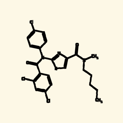 CCCCCN(C)C(=O)c1csc(N(C(=O)c2ccc(Cl)cc2Cl)c2ccc(Cl)cc2)n1